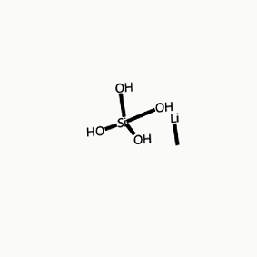 O[Si](O)(O)O.[Li][CH3]